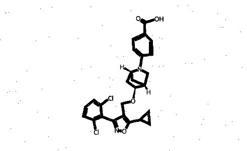 O=C(O)c1ccc(N2C[C@H]3C[C@@H]2C[C@@H]3OCc2c(-c3c(Cl)cccc3Cl)noc2C2CC2)cc1